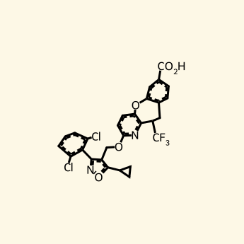 O=C(O)c1ccc2c(c1)Oc1ccc(OCc3c(-c4c(Cl)cccc4Cl)noc3C3CC3)nc1C(C(F)(F)F)C2